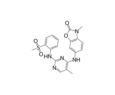 Cc1cnc(Nc2ccccc2S(C)(=O)=O)nc1Nc1ccc2c(c1)oc(=O)n2C